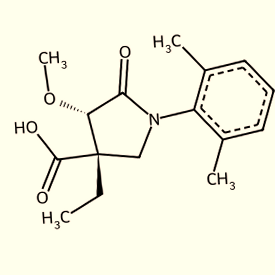 CC[C@]1(C(=O)O)CN(c2c(C)cccc2C)C(=O)[C@H]1OC